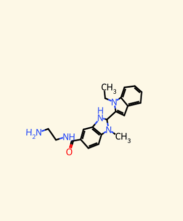 CCn1c(C2Nc3cc(C(=O)NCCN)ccc3N2C)cc2ccccc21